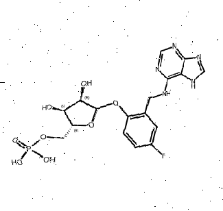 O=P(O)(O)OC[C@H]1OC(Oc2ccc(F)cc2CNc2ncnc3nc[nH]c23)[C@H](O)[C@@H]1O